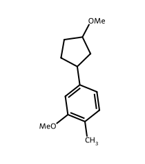 COc1cc(C2CCC(OC)C2)ccc1C